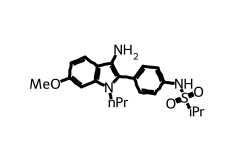 CCCn1c(-c2ccc(NS(=O)(=O)C(C)C)cc2)c(N)c2ccc(OC)cc21